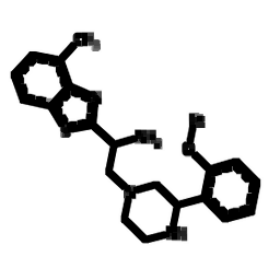 CCOc1ccccc1C1CN(CC(N)c2nc3c(C)cccc3s2)CCN1